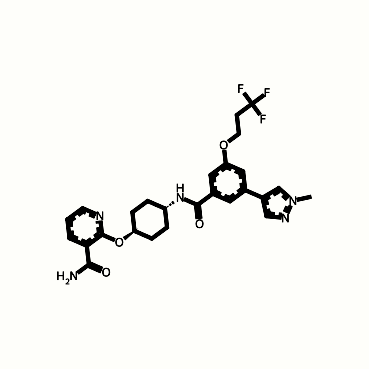 Cn1cc(-c2cc(OCCC(F)(F)F)cc(C(=O)N[C@H]3CC[C@H](Oc4ncccc4C(N)=O)CC3)c2)cn1